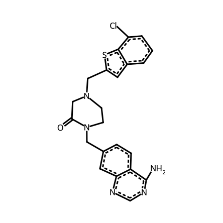 Nc1ncnc2cc(CN3CCN(Cc4cc5cccc(Cl)c5s4)CC3=O)ccc12